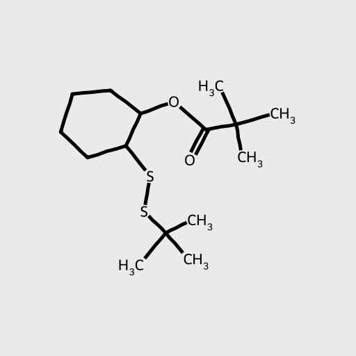 CC(C)(C)SSC1CCCCC1OC(=O)C(C)(C)C